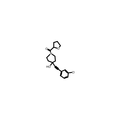 O=C(C1CCCO1)N1CCC(O)(C#Cc2cccc(Cl)c2)CC1